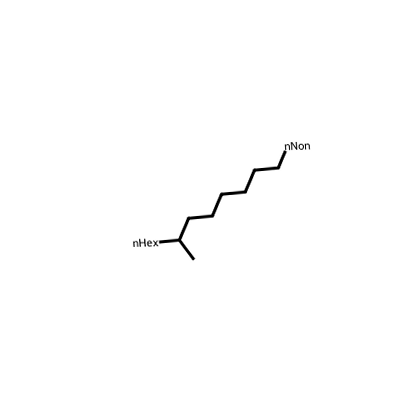 CCCCCCCCCCCCCCCC(C)CCCCCC